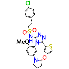 COc1ccc(N2CCCC2=O)cc1-n1c(NS(=O)(=O)CCc2ccc(Cl)cc2)nnc1-c1cccs1